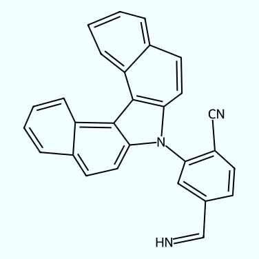 N#Cc1ccc(C=N)cc1-n1c2ccc3ccccc3c2c2c3ccccc3ccc21